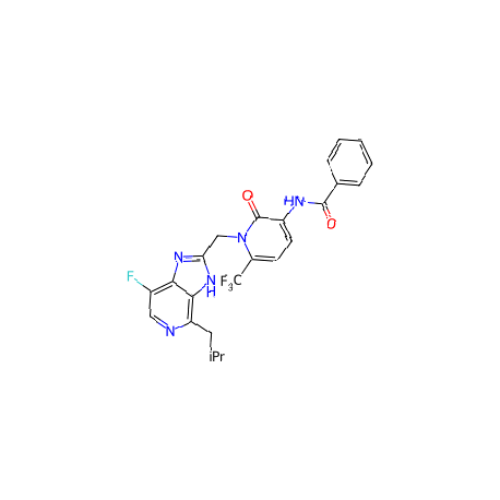 CC(C)Cc1ncc(F)c2nc(Cn3c(C(F)(F)F)ccc(NC(=O)c4ccccc4)c3=O)[nH]c12